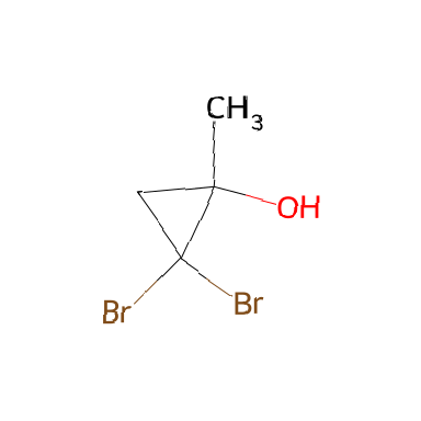 CC1(O)CC1(Br)Br